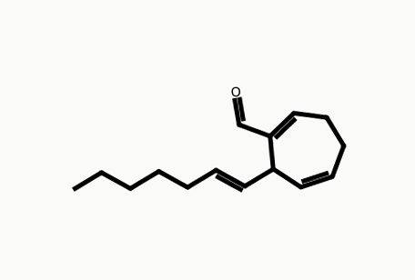 CCCCCC=CC1C=CCCC=C1C=O